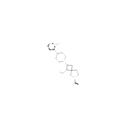 CCC1C(N2CCC(c3ccnn3C)CC2)CC12CCN(C(=O)O)C2